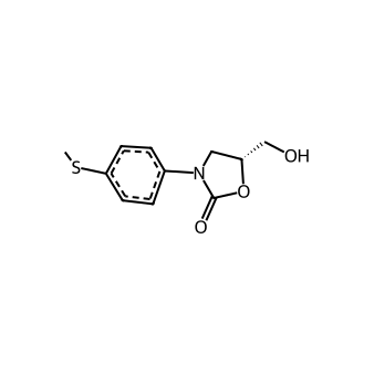 CSc1ccc(N2C[C@H](CO)OC2=O)cc1